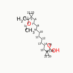 C=C(OCC)C1(CCCCCCCCCCC2(C(=O)O)CC2)CC1